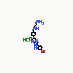 Cl.NCCCNCc1ccc(-c2cn3cc(-c4ccc(Br)cc4)[nH]c3nc2=O)cc1